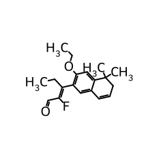 CCOc1cc2c(cc1C(CC)=C(F)C=O)C=CCC2(C)C